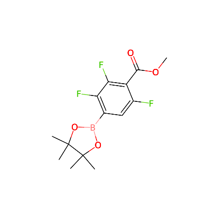 COC(=O)c1c(F)cc(B2OC(C)(C)C(C)(C)O2)c(F)c1F